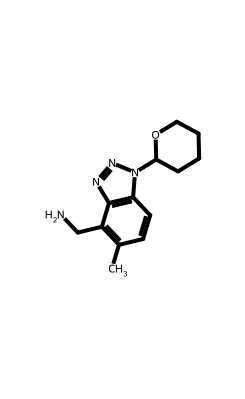 Cc1ccc2c(nnn2C2CCCCO2)c1CN